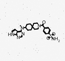 CN(c1ncnc2[nH]ccc12)C1CCC2(CC1)CCN(C(=O)c1ccc(S(N)(=O)=O)cc1)CC2